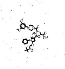 COc1cc(OC)cc(N2CCN(C(=O)[C@H](CCC(=O)O)NC(=O)c3cc(OCC(=O)C(C)(C)C)n(-c4ccccc4)n3)CC2)c1